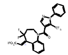 O=C(O)/C=C1/c2ccccc2N(C(=O)c2cnn(-c3ccccc3)c2C(F)(F)F)CCC1(F)F